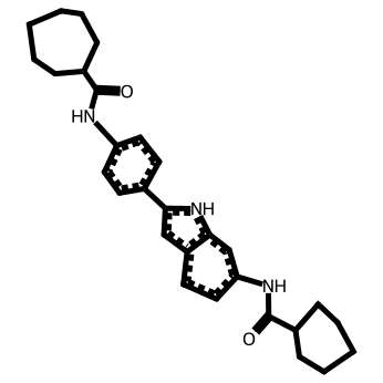 O=C(Nc1ccc(-c2cc3ccc(NC(=O)C4CCCCC4)cc3[nH]2)cc1)C1CCCCCC1